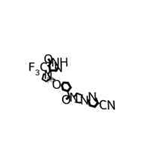 N#Cc1ccc(N2CCN(C(=O)c3cccc(OC[C@H]4CCCN4c4cn[nH]c(=O)c4C(F)(F)F)c3)CC2)nc1